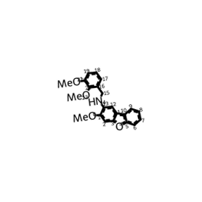 COc1cc2oc3ccccc3c2cc1NCc1cccc(OC)c1OC